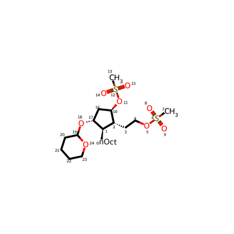 CCCCCCCC[C@@H]1[C@@H](CCOS(C)(=O)=O)[C@H](OS(C)(=O)=O)C[C@H]1OC1CCCCO1